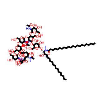 CCCCCCCCCCCCC/C=C/[C@@H](O)[C@H](CO[C@@H]1OC(CO)[C@@H](O[C@@H]2OC(CO)[C@H](O[C@@H]3OC(CO)[C@H](O)[C@H](O)C3NC(C)=O)[C@H](O[C@@H]3OC(CO)[C@@H](O[C@@H]4OC(CO)[C@H](O[C@@H]5OC(CO)[C@H](O)[C@H](O)C5NC(C)=O)[C@H](O[C@]5(C(=O)O)CC(O)[C@@H](NC(C)=O)C([C@H](O)[C@H](O)CO)O5)C4O)[C@H](O)C3NC(C)=O)C2O)[C@H](O)C1O)NC(=O)CCCCCCCCCCCCCCCCCCCCC